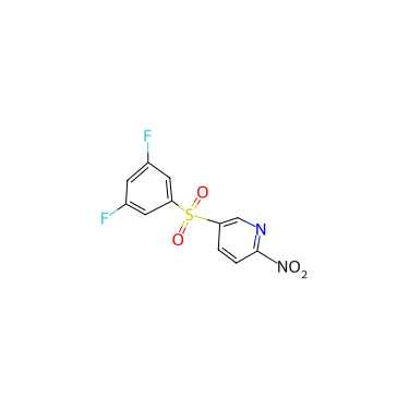 O=[N+]([O-])c1ccc(S(=O)(=O)c2cc(F)cc(F)c2)cn1